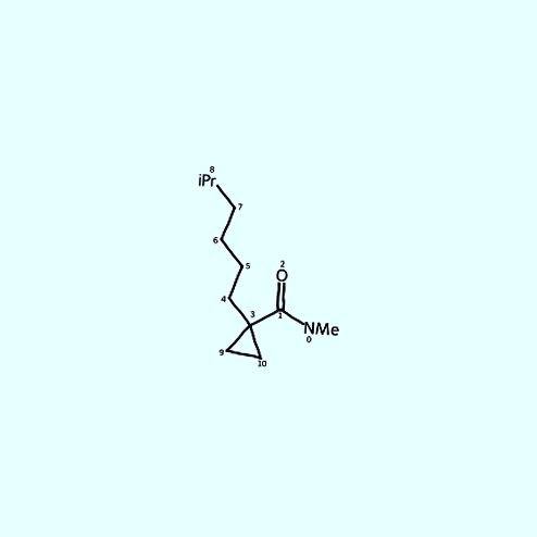 CNC(=O)C1(CCCCC(C)C)CC1